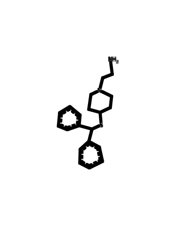 NCCN1CCC(SC(c2ccccc2)c2ccccc2)CC1